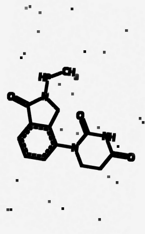 CPN1Cc2c(cccc2N2CCC(=O)NC2=O)C1=O